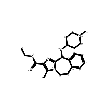 CCOC(=O)c1nc2n(c1C)CCc1ccccc1C2OC1CCN(C)CC1